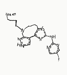 CNCCCN1CCc2sc(Nc3ncc(F)cn3)nc2-c2c[nH]nc21